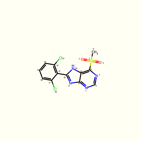 CS(=O)(=O)c1ncnc2nc(-c3c(Cl)cccc3Cl)[nH]c12